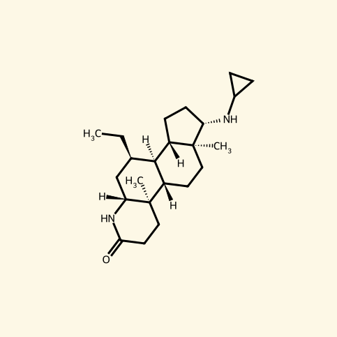 CC[C@@H]1C[C@H]2NC(=O)CC[C@]2(C)[C@H]2CC[C@]3(C)[C@@H](NC4CC4)CC[C@H]3[C@H]12